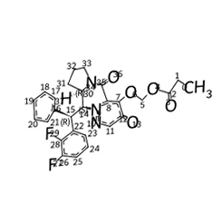 CCC(=O)OCOc1c2n(ncc1=O)[C@@H]([C@H](c1ccccc1)c1cccc(F)c1F)[C@H]1CCCN1C2=O